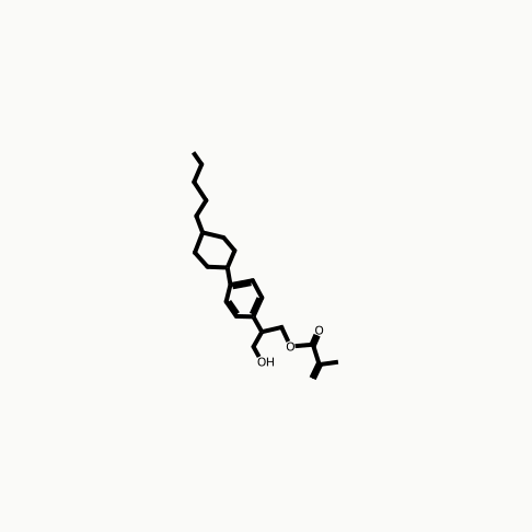 C=C(C)C(=O)OCC(CO)c1ccc(C2CCC(CCCCC)CC2)cc1